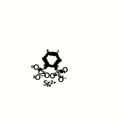 O=S(=O)([O-])c1ccccc1S(=O)(=O)[O-].[Sr+2]